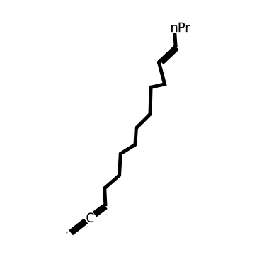 [CH]=C=CCCCCCCCCC=CCCC